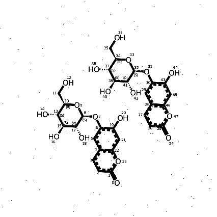 O=c1ccc2cc(O[C@@H]3O[C@H](CO)[C@@H](O)[C@H](O)[C@H]3O)c(O)cc2o1.O=c1ccc2cc(O[C@@H]3O[C@H](CO)[C@@H](O)[C@H](O)[C@H]3O)c(O)cc2o1